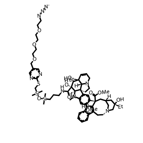 CC[C@]1(O)C[C@@H]2C[N@@](CCc3c([nH]c4ccccc34)[C@@](C(=O)OC)(c3cc4c(cc3OC)N(C)[C@@H]3[C@]45CCN4CC=C[C@@](CC)([C@@H](O)[C@]3(O)C(O)NCCC[Si](C)(C)O[Si](C)(C)CSc3ncc(COCCOCCOCCN=[N+]=[N-])cn3)[C@H]45)C2)C1